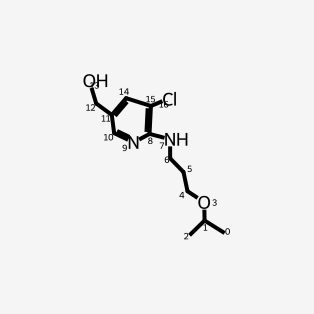 CC(C)OCCCNc1ncc(CO)cc1Cl